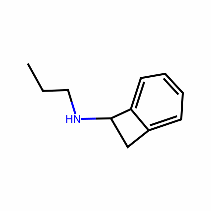 CCCNC1Cc2ccccc21